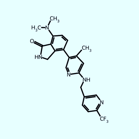 Cc1cc(NCc2ccc(C(F)(F)F)nc2)ncc1-c1ccc(N(C)C)c2c1CNC2=O